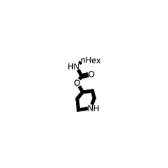 CCCCCCNC(=O)OC1CCNCC1